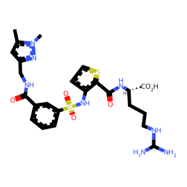 Cc1cc(CNC(=O)c2cccc(S(=O)(=O)Nc3ccsc3C(=O)N[C@@H](CCCNC(N)N)C(=O)O)c2)nn1C